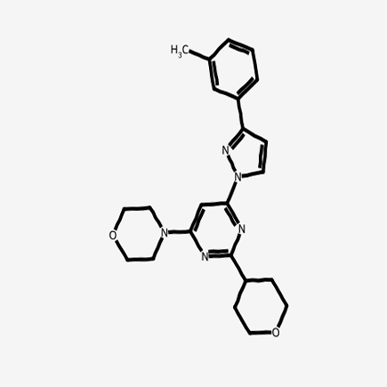 Cc1cccc(-c2ccn(-c3cc(N4CCOCC4)nc(C4CCOCC4)n3)n2)c1